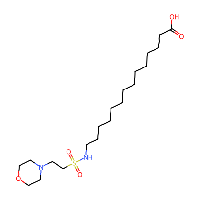 O=C(O)CCCCCCCCCCCCCNS(=O)(=O)CCN1CCOCC1